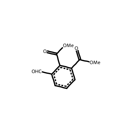 COC(=O)c1cccc(C=O)c1C(=O)OC